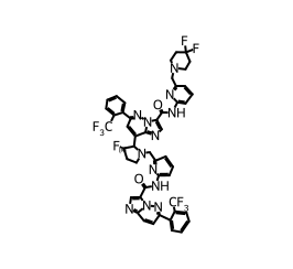 O=C(Nc1cccc(CN2CC[C@@H](F)C2c2cc(-c3ccccc3C(F)(F)F)nn3c(C(=O)Nc4cccc(CN5CCC(F)(F)CC5)n4)cnc23)n1)c1cnc2ccc(-c3ccccc3C(F)(F)F)nn12